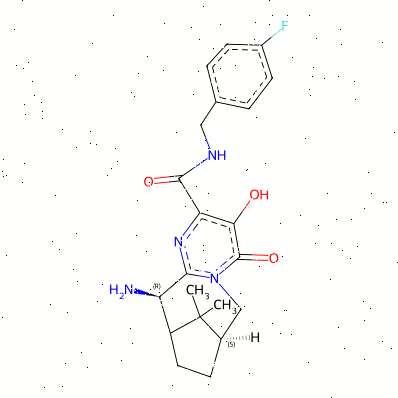 CC1(C)C2CC[C@@H]1Cn1c(nc(C(=O)NCc3ccc(F)cc3)c(O)c1=O)[C@@H]2N